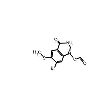 CSc1cc2c(cc1Br)N(OC=O)CNC2=O